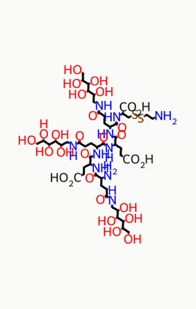 NCCSSCC(NC(=O)C(CCC(=O)NCC(O)C(O)C(O)C(O)CO)NC(=O)C(CCC(=O)O)NC(=O)C(CCC(=O)NCC(O)C(O)C(O)C(O)CO)NC(=O)C(CCC(=O)O)NC(=O)C(N)CCC(=O)NCC(O)C(O)C(O)C(O)CO)C(=O)O